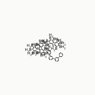 Bc1c(B)c(B)c(-n2c3c(B)c(B)c(B)c(B)c3c3c(-c4nc(-c5ccc(-c6cccc(-c7cccc(-c8ccccc8)c7)c6)cc5)nc(-c5c(B)c(B)c(B)c6c5sc5c(B)c(B)c(B)c(B)c56)n4)c(B)c(B)c(B)c32)c(B)c1B